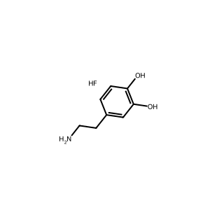 F.NCCc1ccc(O)c(O)c1